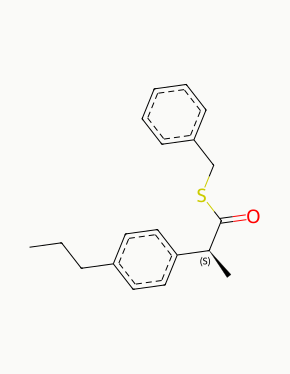 CCCc1ccc([C@H](C)C(=O)SCc2ccccc2)cc1